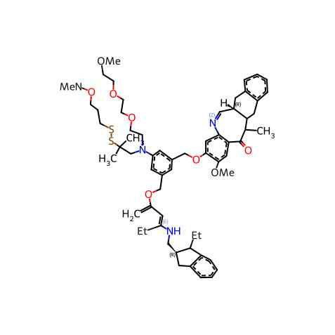 C=C(/C=C(\CC)NC[C@@H]1Cc2ccccc2C1CC)OCc1cc(COc2cc3c(cc2OC)C(=O)C(C)C2Cc4ccccc4C[C@H]2/C=N\3)cc(N(CCOCCOCCOC)CC(C)(C)SSCCCONC)c1